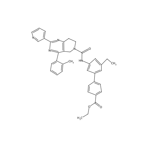 CCOC(=O)c1ccc(-c2cc(CC)cc(NC(=O)N3CCc4nc(-c5cccnc5)nc(-c5ccccc5C)c4C3)c2)cc1